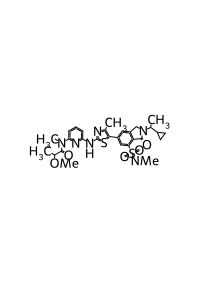 CNS(=O)(=O)c1cc(-c2sc(Nc3cccc(N(C)C(=O)C(C)OC)n3)nc2C)cc2c1C(=O)N(C(C)C1CC1)C2